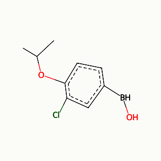 CC(C)Oc1ccc(BO)cc1Cl